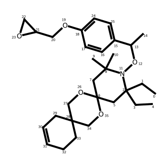 CCC1(CC)CC2(CC(C)(C)N1OC(C)c1ccc(OCC3CO3)cc1)OCC1(CC=CCC1)CO2